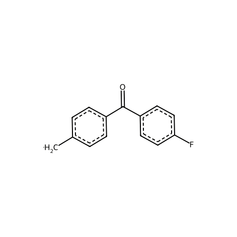 [CH2]c1ccc(C(=O)c2ccc(F)cc2)cc1